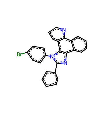 Brc1ccc(-n2c(-c3ccccc3)nc3c4ccccc4c4ncccc4c32)cc1